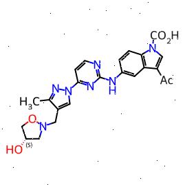 CC(=O)c1cn(C(=O)O)c2ccc(Nc3nccc(-n4cc(CN5C[C@H](O)CO5)c(C)n4)n3)cc12